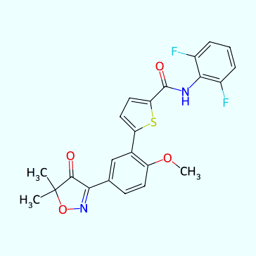 COc1ccc(C2=NOC(C)(C)C2=O)cc1-c1ccc(C(=O)Nc2c(F)cccc2F)s1